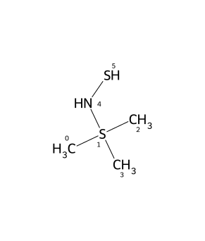 CS(C)(C)NS